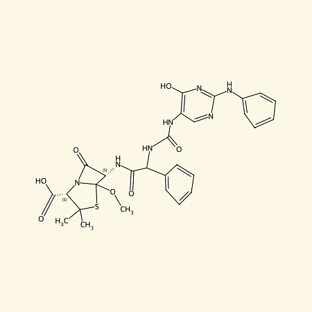 COC12SC(C)(C)[C@H](C(=O)O)N1C(=O)[C@@H]2NC(=O)C(NC(=O)Nc1cnc(Nc2ccccc2)nc1O)c1ccccc1